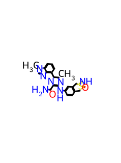 Cc1nc(Nc2ccc3c(c2)CS(=N)(=O)C3)c(C(N)=O)nc1-c1cccc2c1ncn2C